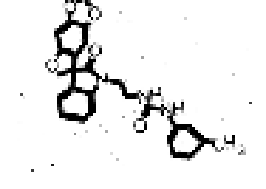 Cc1cccc(NC(=O)NCCN2C(=O)C3(COc4cc5c(cc43)OCO5)c3ccccc32)c1